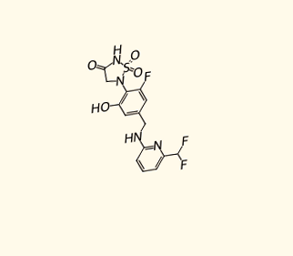 O=C1CN(c2c(O)cc(CNc3cccc(C(F)F)n3)cc2F)S(=O)(=O)N1